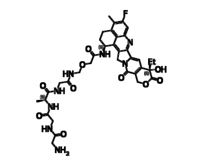 CC[C@@]1(O)C(=O)OCc2c1cc1n(c2=O)Cc2c-1nc1cc(F)c(C)c3c1c2[C@@H](NC(=O)COCNC(=O)CNC(=O)[C@H](C)NC(=O)CNC(=O)CN)CC3